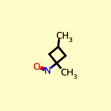 CC1CC(C)(N=O)C1